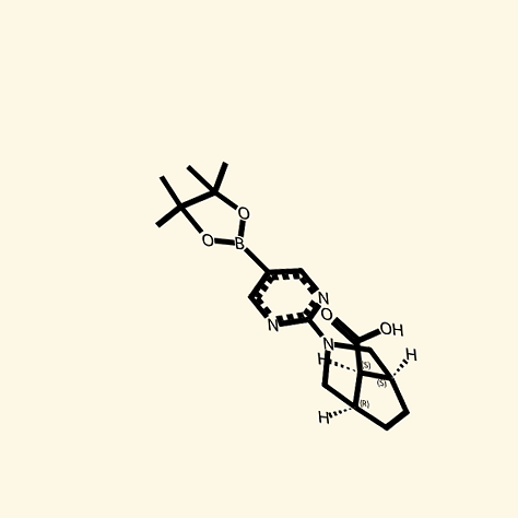 CC1(C)OB(c2cnc(N3C[C@H]4CC[C@@H](C3)[C@H]4C(=O)O)nc2)OC1(C)C